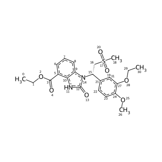 CCOC(=O)c1cccc2c1[nH]c(=O)n2[C@H](CS(C)(=O)=O)c1ccc(OC)c(OCC)c1